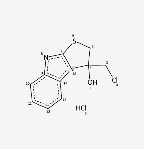 Cl.OC1(CCl)CSc2nc3ccccc3n21